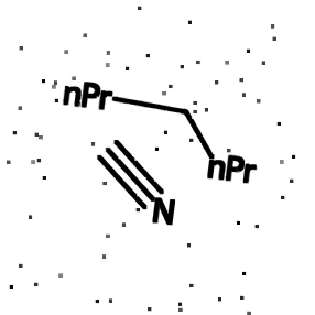 C#N.CCCCCCC